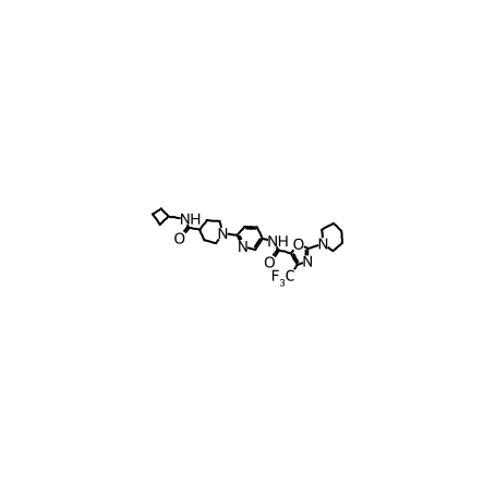 O=C(Nc1ccc(N2CCC(C(=O)NC3CCC3)CC2)nc1)c1oc(N2CCCCC2)nc1C(F)(F)F